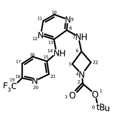 CC(C)(C)OC(=O)N1CC(Nc2nccnc2Nc2ccc(C(F)(F)F)nc2)C1